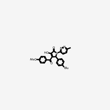 COc1ccc(C(=O)C2=C(O)C(=O)N(c3ccc(C)nn3)C2c2ccc(C(C)(C)C)cc2)cc1